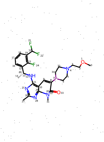 COCCN1CCP(c2cc3c(N[C@H](C)c4cccc(C(F)F)c4F)nc(C)nc3n(C)c2=O)CC1